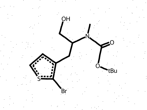 CN(C(=O)OC(C)(C)C)C(CO)Cc1ccsc1Br